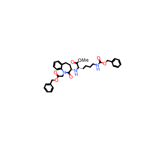 COC(=O)[C@H](CCCCNC(=O)OCc1ccccc1)N[C@H]1CCc2ccccc2N(CC(=O)OCc2ccccc2)C1=O